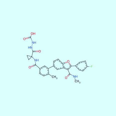 CNC(=O)c1c(-c2ccc(F)cc2)oc2ccc(-c3cc(C(=O)NC4(C(=O)NNC(=O)O)CC4)ccc3C)cc12